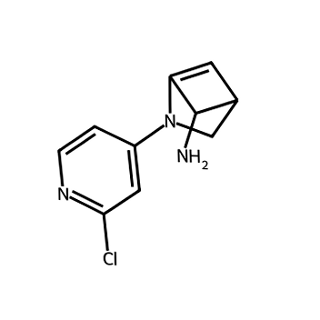 NC1C2=CC1CN2c1ccnc(Cl)c1